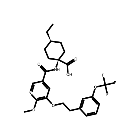 CC[C@H]1CC[C@](NC(=O)c2cnc(OC)c(OCCc3cccc(OC(F)(F)F)c3)c2)(C(=O)O)CC1